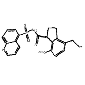 COc1ccc(CC(C)C)c2c1C(C(=O)NS(=O)(=O)c1cccc3ncccc13)CC2